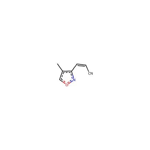 Cc1conc1/C=C\C#N